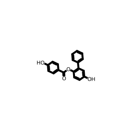 O=C(Oc1ccc(O)cc1-c1ccccc1)c1ccc(O)cc1